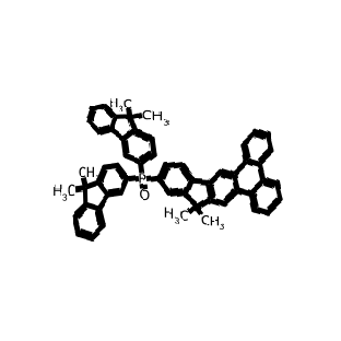 CC1(C)c2ccccc2-c2cc(P(=O)(c3ccc4c(c3)-c3ccccc3C4(C)C)c3ccc4c(c3)C(C)(C)c3cc5c6ccccc6c6ccccc6c5cc3-4)ccc21